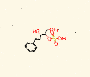 O=S(=O)(O)O[C@H](CO)[C@@H](O)C=Cc1ccccc1